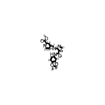 COC(=O)c1cc(CNc2ncsc2C(=O)Nc2ccc3c(c2)OC(F)(F)O3)ccn1